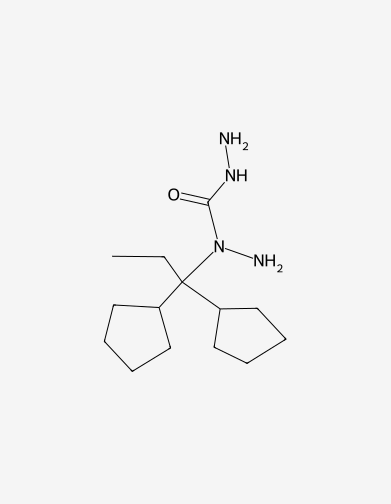 CCC(C1CCCC1)(C1CCCC1)N(N)C(=O)NN